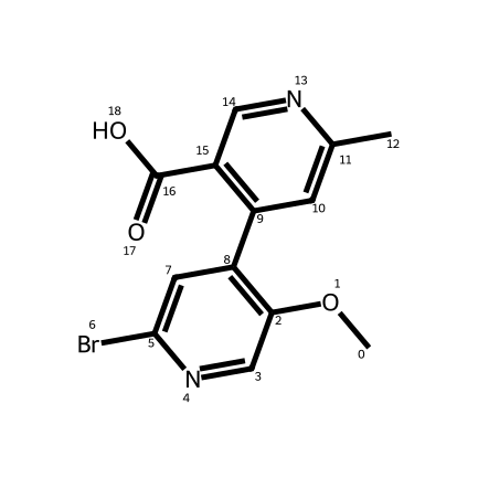 COc1cnc(Br)cc1-c1cc(C)ncc1C(=O)O